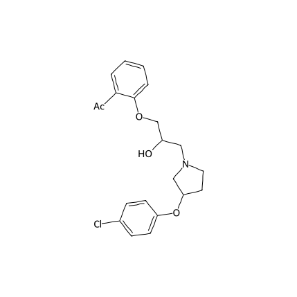 CC(=O)c1ccccc1OCC(O)CN1CCC(Oc2ccc(Cl)cc2)C1